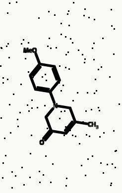 COc1ccc(N2CC(=O)C=C(C)C2)cc1